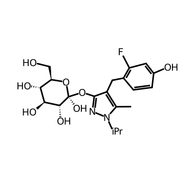 Cc1c(Cc2ccc(O)cc2F)c(O[C@]2(O)O[C@H](CO)[C@@H](O)[C@H](O)[C@H]2O)nn1C(C)C